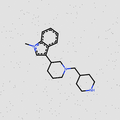 Cn1cc(C2CCCN(CC3CCNCC3)C2)c2ccccc21